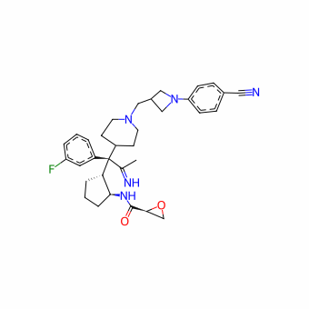 CC(=N)[C@@](c1cccc(F)c1)(C1CCN(CC2CN(c3ccc(C#N)cc3)C2)CC1)[C@H]1CCC[C@@H]1NC(=O)[C@@H]1CO1